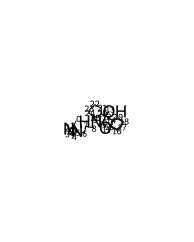 Cc1nccn1CCCNC(=O)C(O)(c1ccccc1)C1CCCCC1